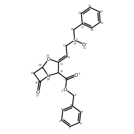 O=C(OCc1ccccc1)C1C(=CC[S+]([O-])Cc2ccccc2)OC2CC(=O)N21